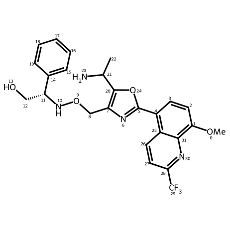 COc1ccc(-c2nc(CON[C@H](CO)c3ccccc3)c(C(C)N)o2)c2ccc(C(F)(F)F)nc12